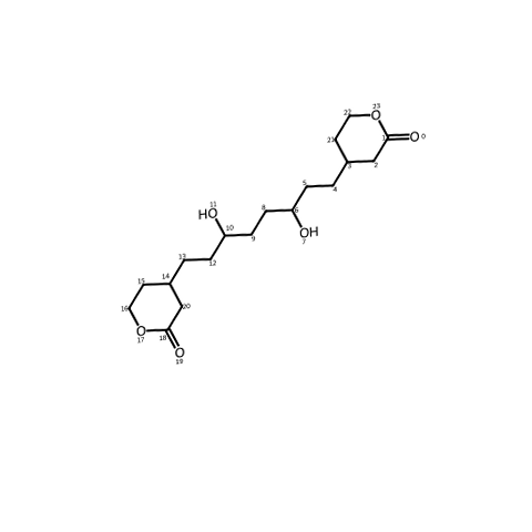 O=C1CC(CCC(O)CCC(O)CCC2CCOC(=O)C2)CCO1